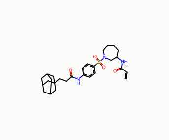 C=CC(=O)NC1CCCCN(S(=O)(=O)c2ccc(NC(=O)CCC34CC5CC(CC(C5)C3)C4)cc2)C1